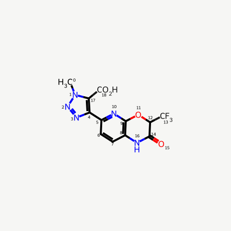 Cn1nnc(-c2ccc3c(n2)OC(C(F)(F)F)C(=O)N3)c1C(=O)O